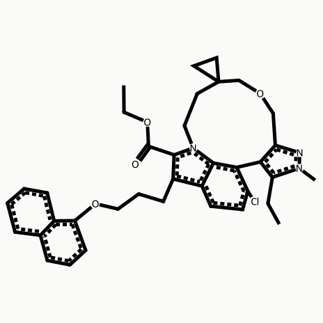 CCOC(=O)c1c(CCCOc2cccc3ccccc23)c2ccc(Cl)c3c2n1CCC1(CC1)COCc1nn(C)c(CC)c1-3